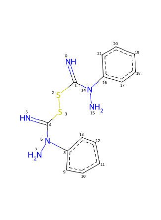 N=C(SSC(=N)N(N)c1ccccc1)N(N)c1ccccc1